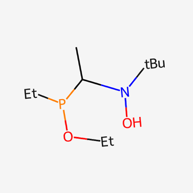 CCOP(CC)C(C)N(O)C(C)(C)C